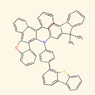 CC1(C)c2ccccc2-c2ccc(N(c3ccc(-c4cccc5c4sc4ccccc45)cc3)c3c(-c4ccccc4)c4ccccc4c4oc5ccccc5c34)cc21